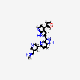 CCNCc1cncc(-c2ccc3[nH]nc(-c4cc5c(-c6ccoc6)ccnc5[nH]4)c3n2)c1